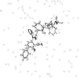 CN(C)C1(C)CCCCC1(O)c1cccc(OC(=O)c2ccc(-c3ccccc3)c(F)c2O)c1